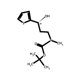 CN(CC[C@@H](O)c1cccs1)C(=O)OC(C)(C)C